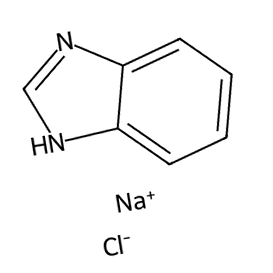 [Cl-].[Na+].c1ccc2[nH]cnc2c1